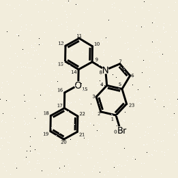 Brc1ccc2c(ccn2-c2ccccc2OCc2ccccc2)c1